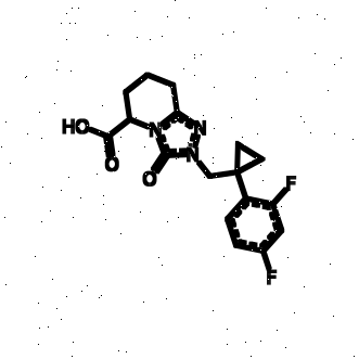 O=C(O)C1CCCc2nn(CC3(c4ccc(F)cc4F)CC3)c(=O)n21